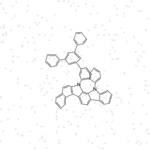 c1ccc(-c2cc(-c3ccccc3)cc(-c3cccc(-n4c5ccc6ccccc6c5c5ccc6c7ccccc7n(-c7ccccc7)c6c54)c3)c2)cc1